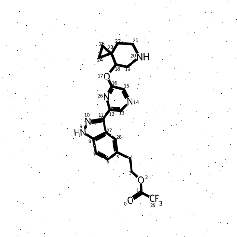 O=C(OCCc1ccc2[nH]nc(-c3cncc(OC4CNCCC45CC5)n3)c2c1)C(F)(F)F